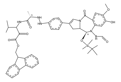 COc1cc2c(cc1O)N(BC=O)[C@@H](O[Si](C)(C)C(C)(C)C)C1CC(c3ccc(NN[C@@H](C)C(=O)NC(C(=O)C(=O)OCC4c5ccccc5-c5ccccc54)C(C)C)cc3)=CN1C2=O